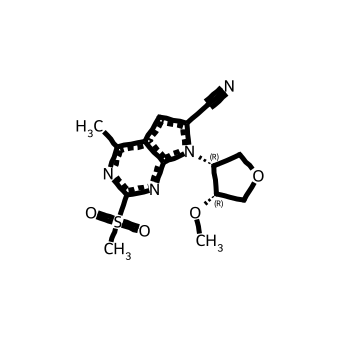 CO[C@H]1COC[C@H]1n1c(C#N)cc2c(C)nc(S(C)(=O)=O)nc21